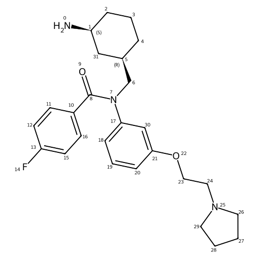 N[C@H]1CCC[C@@H](CN(C(=O)c2ccc(F)cc2)c2cccc(OCCN3CCCC3)c2)C1